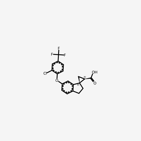 O=C(O)[C@@H]1C[C@]12CCc1ccc(Oc3ccc(C(F)(F)F)cc3Cl)cc12